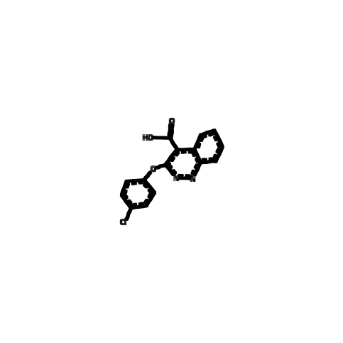 O=C(O)c1c(Oc2ccc(Cl)cc2)nnc2ccccc12